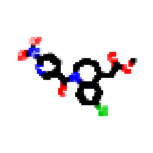 COC(=O)CC1CCCN(C(=O)c2ccc([N+](=O)[O-])nc2)c2ccc(Cl)cc21